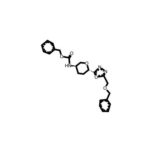 O=C(N[C@@H]1CC[C@@H](c2nnc(COCc3ccccc3)o2)OC1)OCc1ccccc1